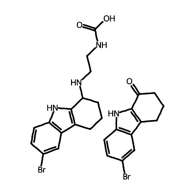 O=C(O)NCCNC1CCCc2c1[nH]c1ccc(Br)cc21.O=C1CCCc2c1[nH]c1ccc(Br)cc21